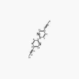 CC#Cc1ccc(-c2ccc(C#CC)cn2)nc1